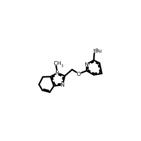 Cn1c(COc2cccc(C(C)(C)C)n2)nc2c1CCC=C2